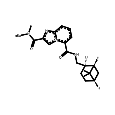 CCCCN(C)C(=O)c1cn2c(C(=O)NC[C@@H]3CC[C@H]4C[C@@H]3C4(C)C)cccc2n1